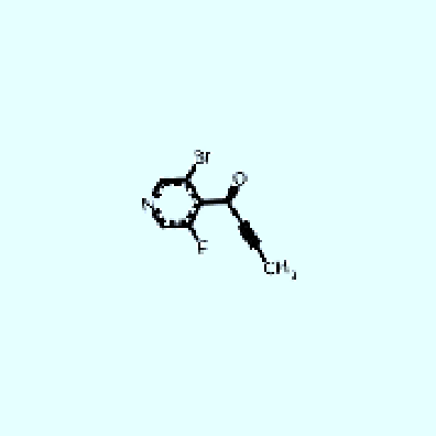 CC#CC(=O)c1c(F)cncc1Br